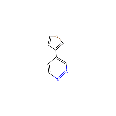 c1cc(-c2ccsc2)cnn1